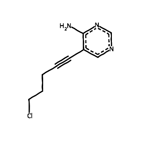 Nc1ncncc1C#CCCCCl